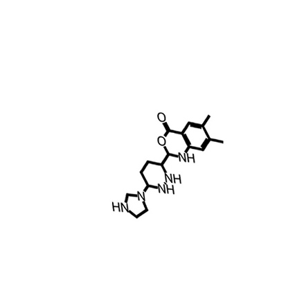 Cc1cc2c(cc1C)C(=O)OC(C1CCC(N3CCNC3)NN1)N2